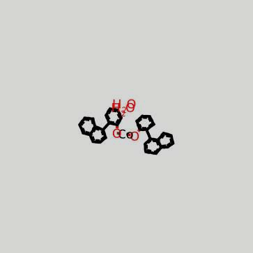 O.O.c1ccc(-c2cccc3ccccc23)c([O][Co][O]c2ccccc2-c2cccc3ccccc23)c1